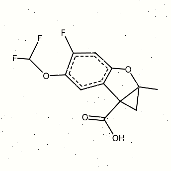 CC12CC1(C(=O)O)c1cc(OC(F)F)c(F)cc1O2